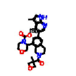 Cc1c[nH]c2ncc(-c3cc4c(c(C5COCCN5C(=O)OC(C)(C)C)c3)CN(C(=O)C3(C)COC3)CC4)cc12